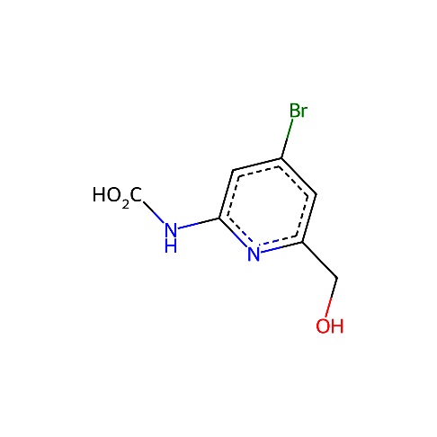 O=C(O)Nc1cc(Br)cc(CO)n1